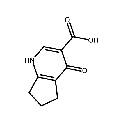 O=C(O)c1c[nH]c2c(c1=O)CCC2